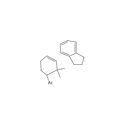 CC(=O)C1CCC=CC1(C)C.c1ccc2c(c1)CCC2